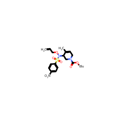 C=CCON(C1CN(C(=O)OC(C)(C)C)CC=C1C)S(=O)(=O)c1ccc([N+](=O)[O-])cc1